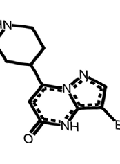 CCc1cnn2c(C3CCNCC3)cc(=O)[nH]c12